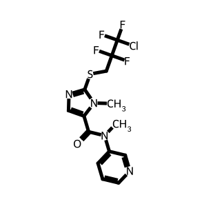 CN(C(=O)c1cnc(SCC(F)(F)C(F)(F)Cl)n1C)c1cccnc1